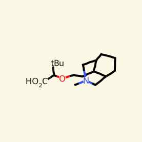 CN1CC2CCCC(C1)C2CCOC(C(=O)O)C(C)(C)C